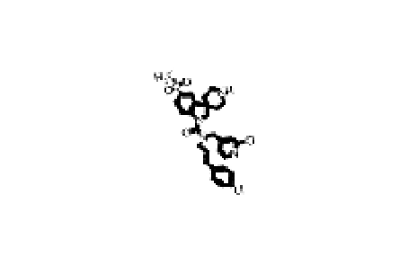 CS(=O)(=O)c1ccc2c(c1)C1(CCNCC1)CN2C(=O)N(CC=Cc1ccc(Cl)cc1)Cc1ccnc(Cl)c1